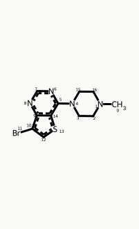 CN1CCN(c2ncnc3c(Br)csc23)CC1